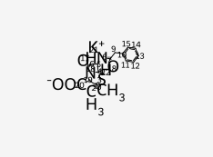 CC1(C)S[C@H]2C(NC(=O)Cc3ccccc3)C(=O)N2C1C(=O)[O-].[K+]